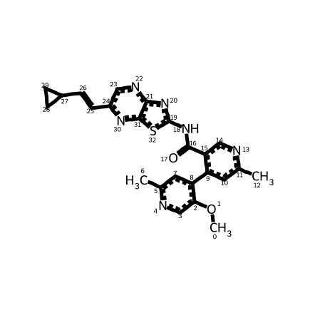 COc1cnc(C)cc1-c1cc(C)ncc1C(=O)Nc1nc2ncc(/C=C/C3CC3)nc2s1